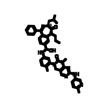 CCCN1C(=O)[C@H](CC(C)C)N=C(c2ccccc2)c2ccc(C(O)Nc3ccc(C)c(N4Cc5cnc(Nc6ccc(C)nc6)nc5N(C)C4=O)c3)cc21